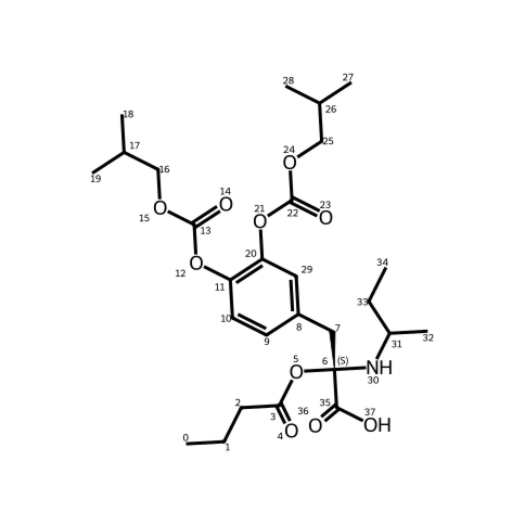 CCCC(=O)O[C@](Cc1ccc(OC(=O)OCC(C)C)c(OC(=O)OCC(C)C)c1)(NC(C)CC)C(=O)O